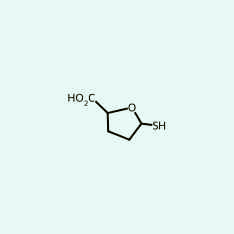 O=C(O)C1CCC(S)O1